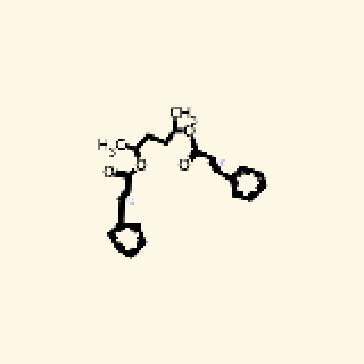 CC(CCC(C)OC(=O)/C=C/c1ccccc1)OC(=O)/C=C/c1ccccc1